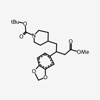 COC(=O)CC(CC1CCN(C(=O)OC(C)(C)C)CC1)c1ccc2c(c1)OCO2